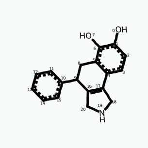 Oc1ccc2c(c1O)CC(c1ccccc1)C1=C2CNC1